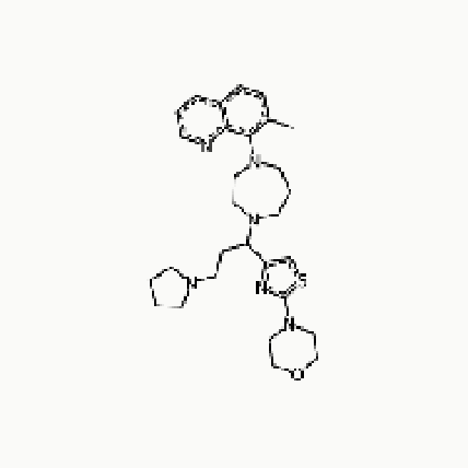 Cc1ccc2cccnc2c1N1CCCN(C(CCN2CCCC2)c2csc(N3CCOCC3)n2)CC1